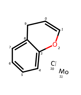 C1=COc2ccccc2C1.[C].[Mo]